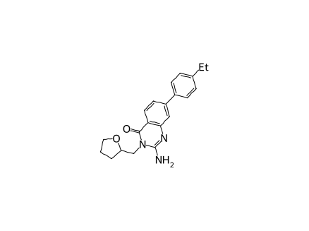 CCc1ccc(-c2ccc3c(=O)n(CC4CCCO4)c(N)nc3c2)cc1